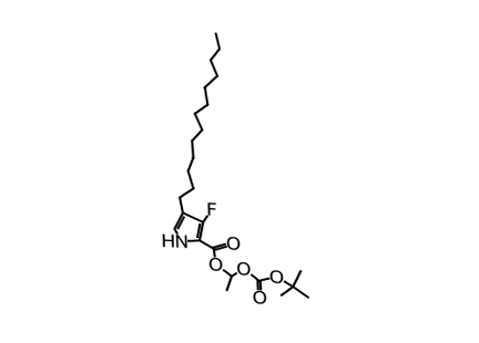 CCCCCCCCCCCCCc1c[nH]c(C(=O)OC(C)OC(=O)OC(C)(C)C)c1F